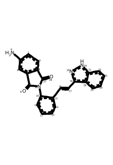 Nc1ccc2c(c1)C(=O)N(c1ccccc1C=Cc1n[nH]c3ccccc13)C2=O